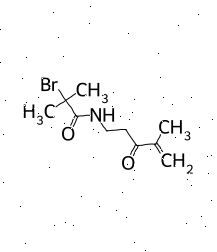 C=C(C)C(=O)CCNC(=O)C(C)(C)Br